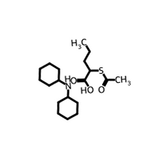 C1CCC(NC2CCCCC2)CC1.CCCC(SC(C)=O)C(=O)O